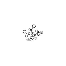 CC(C)(C)[Si](C)(C)O[C@H]1[C@@H](Cl)[C@H](n2ccc(=O)[nH]c2=O)OC1(COC(=O)c1ccccc1)COC(=O)c1ccccc1